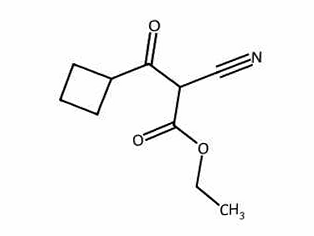 CCOC(=O)C(C#N)C(=O)C1CCC1